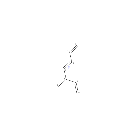 C=C/C=C/C(C)C=C